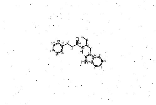 CCC(Cc1c[nH]c2ccccc12)NC(=O)CCc1ccccc1